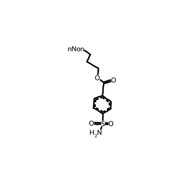 CCCCCCCCCCCCOC(=O)c1ccc(S(N)(=O)=O)cc1